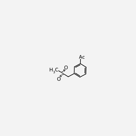 CC(=O)c1cccc(CS(C)(=O)=O)c1